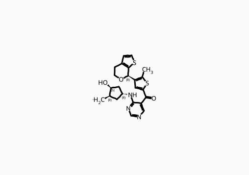 [CH2][C@@H]1C[C@@H](Nc2ncncc2C(=O)c2cc([C@H]3OCCc4ccsc43)c(C)s2)C[C@@H]1O